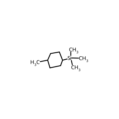 CC1CCC([Si](C)(C)C)CC1